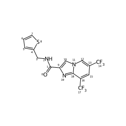 O=C(NCc1cccs1)c1cn2cc(C(F)(F)F)cc(C(F)(F)F)c2n1